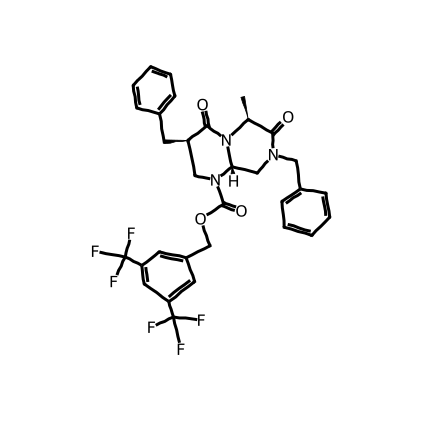 C[C@H]1C(=O)N(Cc2ccccc2)C[C@@H]2N(C(=O)OCc3cc(C(F)(F)F)cc(C(F)(F)F)c3)C[C@@H](Cc3ccccc3)C(=O)N21